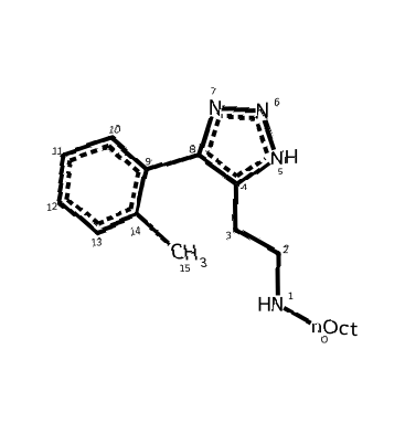 CCCCCCCCNCCc1[nH]nnc1-c1ccccc1C